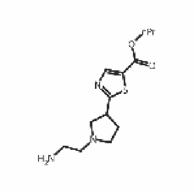 CCCOC(=O)c1cnc(C2CCN(CCN)C2)s1